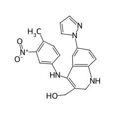 Cc1ccc(NC2=C(CO)CNc3ccc(-n4cccn4)cc32)cc1[N+](=O)[O-]